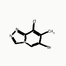 Cc1c(Br)cn2cnnc2c1Cl